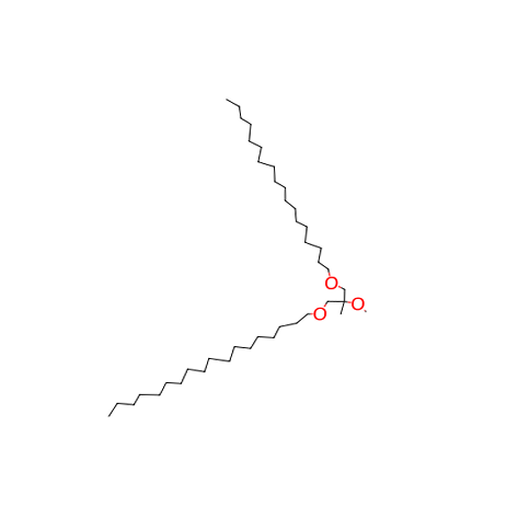 CCCCCCCCCCCCCCCCCCOCC(C)(COCCCCCCCCCCCCCCCCCC)OC